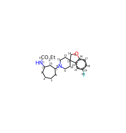 CCOC(=O)NC1CCCCC(N2CCC3(CC2)COc2ccc(F)cc23)C1